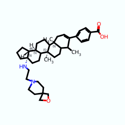 CC1C(c2ccc(C(=O)O)cc2)=CC[C@@]2(C)C1CC[C@@]1(C)C3CC[C@@]4(NCCN5CCC6(CC5)COC6)CCC[C@@H]4[C@H]3CCC21